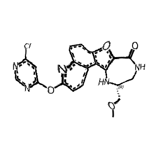 COC[C@H]1CNC(=O)c2oc3ccc4nc(Oc5cc(Cl)ncn5)ccc4c3c2N1